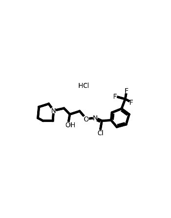 Cl.OC(CON=C(Cl)c1cccc(C(F)(F)F)c1)CN1CCCCC1